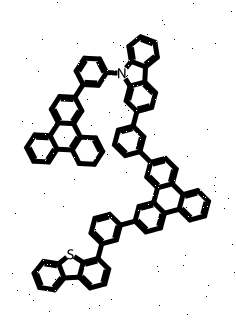 C1=Cc2c(c3ccccc3c3ccc(-c4cccc(-n5c6ccccc6c6ccc(-c7cccc(-c8ccc9c%10ccccc%10c%10ccc(-c%11cccc(-c%12cccc%13c%12sc%12ccccc%12%13)c%11)cc%10c9c8)c7)cc65)c4)cc23)CC1